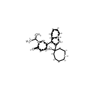 CC(C)n1nc(-c2c(C3(O)CCCCCCC3)nn3ccccc23)ccc1=O